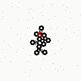 c1ccc(N(c2ccccc2)c2ccc3c(c2)C2(c4ccccc4-3)c3ccccc3-c3c(N(c4ccccc4)c4ccc5c(c4)c4ccccc4n5-c4ccccc4)cc4ccccc4c32)cc1